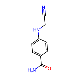 N#CCNc1ccc(C(N)=O)cc1